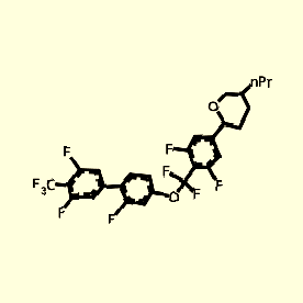 CCCC1CCC(c2cc(F)c(C(F)(F)Oc3ccc(-c4cc(F)c(C(F)(F)F)c(F)c4)c(F)c3)c(F)c2)OC1